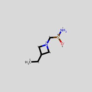 CCC1CN(C[S+](N)[O-])C1